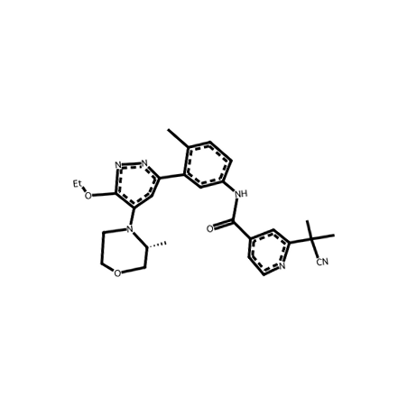 CCOc1nnc(-c2cc(NC(=O)c3ccnc(C(C)(C)C#N)c3)ccc2C)cc1N1CCOC[C@H]1C